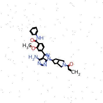 C=CC(=O)N1CC2CC(n3nc(-c4ccc(C(=O)Nc5ccccc5)c(OC)c4)c4c(N)ncnc43)CC2C1